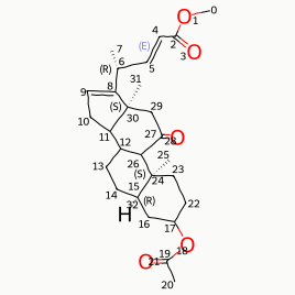 COC(=O)/C=C/[C@@H](C)C1=CCC2C3CC[C@@H]4CC(OC(C)=O)CC[C@]4(C)C3C(=O)C[C@]12C